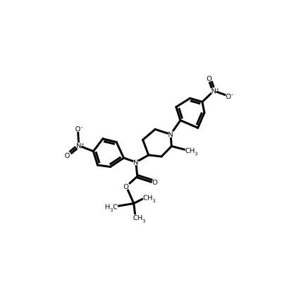 CC1CC(N(C(=O)OC(C)(C)C)c2ccc([N+](=O)[O-])cc2)CCN1c1ccc([N+](=O)[O-])cc1